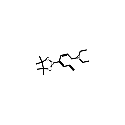 C=C/C=C(\C=C/CN(CC)CC)B1OC(C)(C)C(C)(C)O1